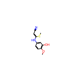 COc1ccc(NC(=CC#N)SC)cc1O